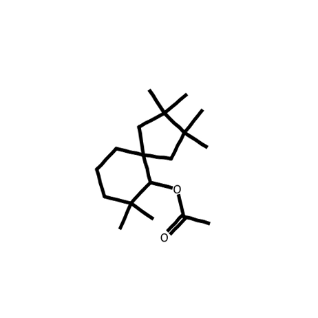 CC(=O)OC1C(C)(C)CCCC12CC(C)(C)C(C)(C)C2